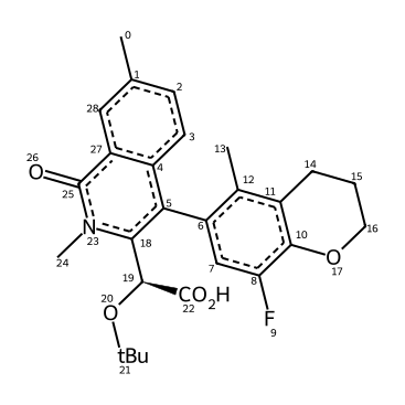 Cc1ccc2c(-c3cc(F)c4c(c3C)CCCO4)c([C@H](OC(C)(C)C)C(=O)O)n(C)c(=O)c2c1